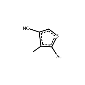 CC(=O)c1s[c]c(C#N)c1C